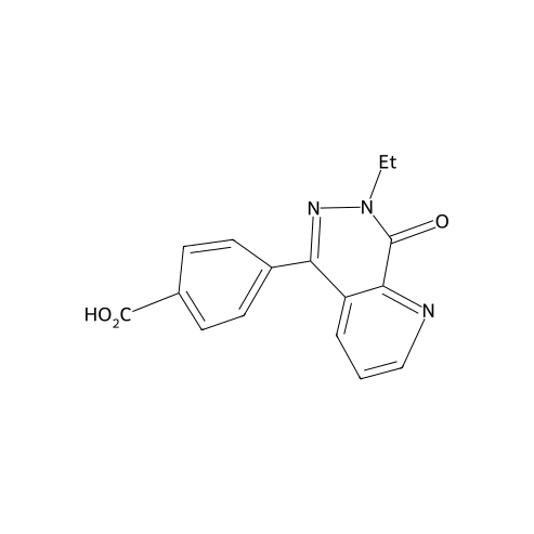 CCn1nc(-c2ccc(C(=O)O)cc2)c2cccnc2c1=O